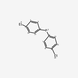 CCc1ccc([P]c2ccc(CC)cc2)cc1